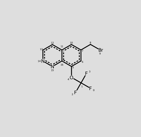 FC(F)(F)Oc1cc(CBr)cc2ccnnc12